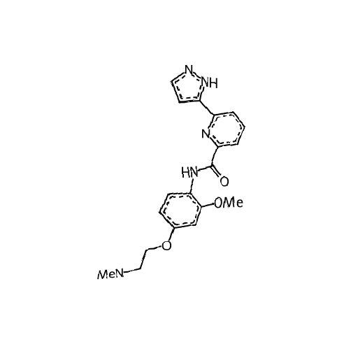 CNCCOc1ccc(NC(=O)c2cccc(-c3ccn[nH]3)n2)c(OC)c1